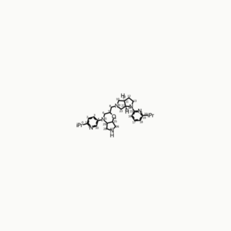 CC(C)c1ccc(N2CC(CN3C[C@H]4CCN(c5cccc(C(C)C)n5)[C@@H]4C3)OC3CNCC32)cn1